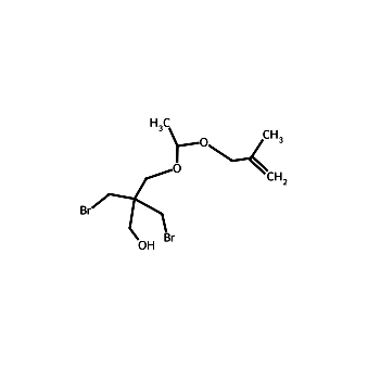 C=C(C)COC(C)OCC(CO)(CBr)CBr